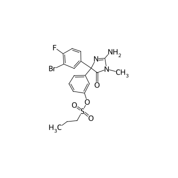 CCCS(=O)(=O)Oc1cccc(C2(c3ccc(F)c(Br)c3)N=C(N)N(C)C2=O)c1